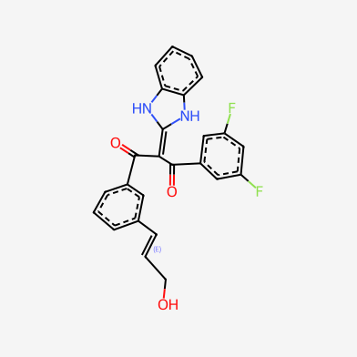 O=C(C(C(=O)c1cccc(/C=C/CO)c1)=C1Nc2ccccc2N1)c1cc(F)cc(F)c1